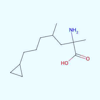 CC(CCCC1CC1)CC(C)(N)C(=O)O